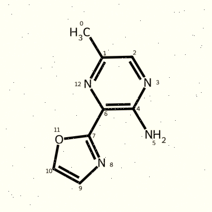 Cc1cnc(N)c(-c2ncco2)n1